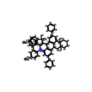 CC(C)(C)c1ccc2c(c1)C1=C(B3c4cc(-c5ccccc5)cc5c4C(CC4(C)CCCCC54C)c4cc(-c5ccccc5)cc(c43)N1c1ccc(C(C)(C)C)cc1-c1ccccc1)C2(C)C